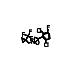 Fc1ccc(Cl)c(C2CN(CC3(C(F)(F)F)CC3)O2)c1Cl